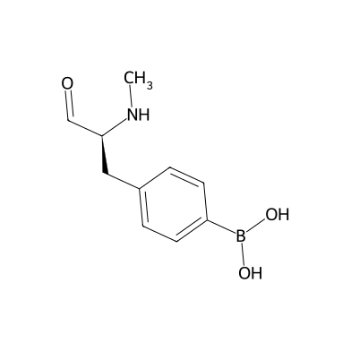 CN[C@H](C=O)Cc1ccc(B(O)O)cc1